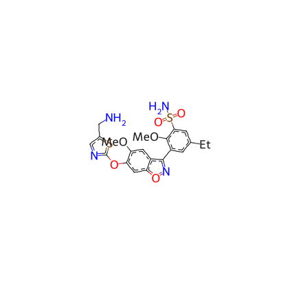 CCc1cc(-c2noc3cc(Oc4ncc(CN)s4)c(OC)cc23)c(OC)c(S(N)(=O)=O)c1